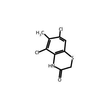 Cc1c(Cl)cc2c(c1Cl)NC(=O)CS2